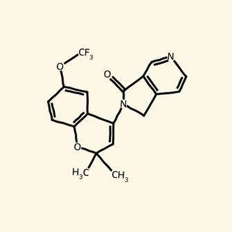 CC1(C)C=C(N2Cc3ccncc3C2=O)c2cc(OC(F)(F)F)ccc2O1